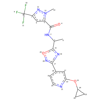 CC(NC(=O)c1cc(C(F)(F)F)nn1C)c1nc(-c2ccnc(OC3CC3)c2)no1